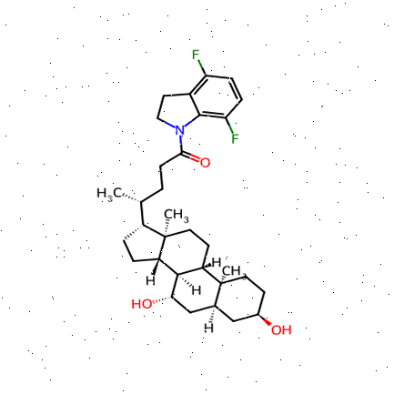 C[C@H](CCC(=O)N1CCc2c(F)ccc(F)c21)[C@H]1CC[C@H]2[C@@H]3[C@@H](O)C[C@@H]4C[C@H](O)CC[C@]4(C)[C@H]3CC[C@]12C